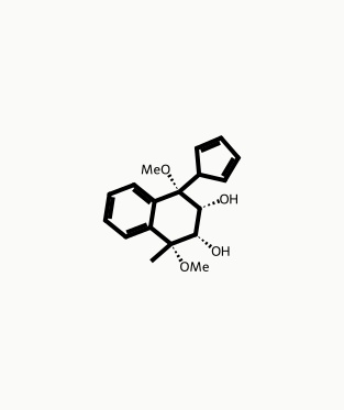 CO[C@@]1(C2C=CC=C2)c2ccccc2[C@@](C)(OC)[C@@H](O)[C@H]1O